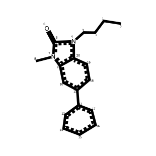 CCCCn1c(=O)n(C)c2cc(-c3ccccc3)ccc21